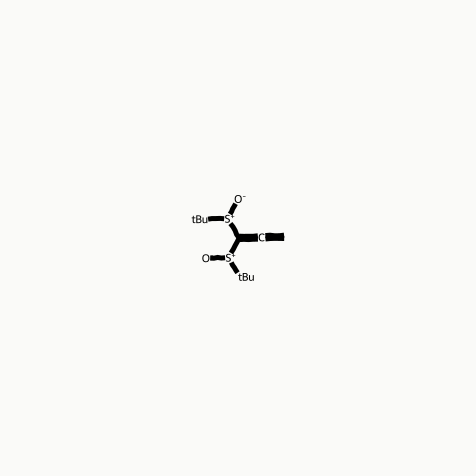 C=C=C([S+]([O-])C(C)(C)C)[S+]([O-])C(C)(C)C